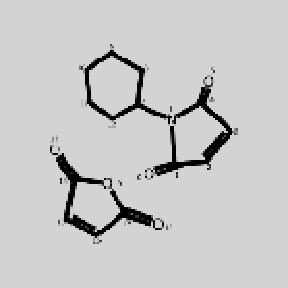 O=C1C=CC(=O)N1C1CCCCC1.O=C1C=CC(=O)O1